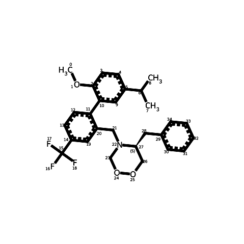 COc1ccc(C(C)C)cc1-c1ccc(C(F)(F)F)cc1CN1COOC[C@@H]1Cc1ccccc1